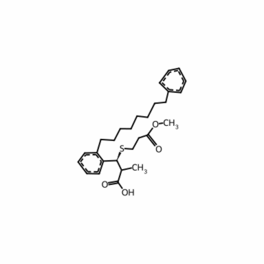 COC(=O)CCS[C@H](c1ccccc1CCCCCCCCc1ccccc1)C(C)C(=O)O